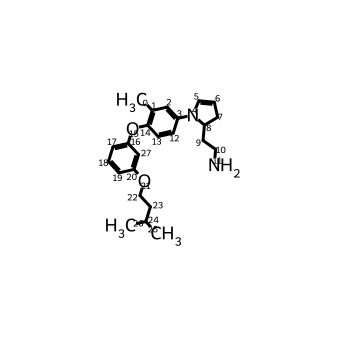 Cc1cc(N2C=CCC2CCN)ccc1Oc1cccc(OCCC(C)C)c1